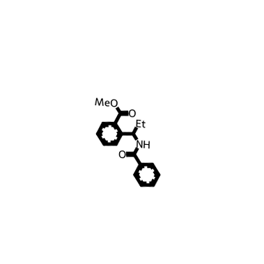 CCC(NC(=O)c1ccccc1)c1ccccc1C(=O)OC